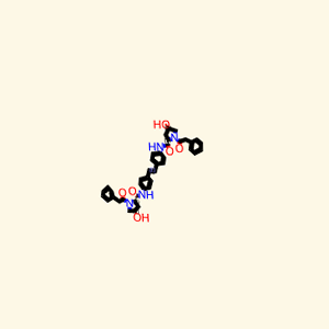 O=C(Nc1ccc(/C=C/c2ccc(NC(=O)[C@@H]3C[C@@H](O)CN3C(=O)Cc3ccccc3)cc2)cc1)[C@@H]1C[C@@H](O)CN1C(=O)Cc1ccccc1